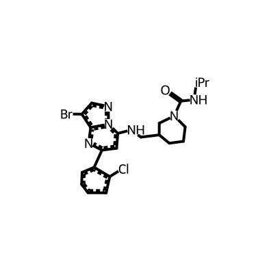 CC(C)NC(=O)N1CCCC(CNc2cc(-c3ccccc3Cl)nc3c(Br)cnn23)C1